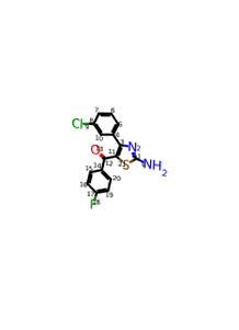 Nc1nc(-c2cccc(Cl)c2)c(C(=O)c2ccc(F)cc2)s1